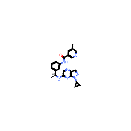 Cc1cncc(C(=O)Nc2cccc([C@H](C)Nc3cnc4cnn(C5CC5)c4n3)c2)c1